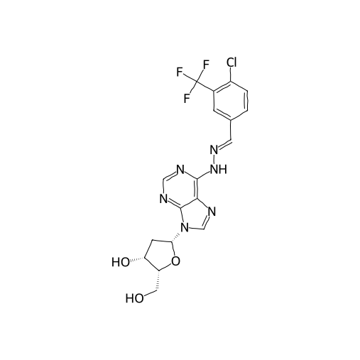 OC[C@H]1O[C@@H](n2cnc3c(N/N=C/c4ccc(Cl)c(C(F)(F)F)c4)ncnc32)C[C@H]1O